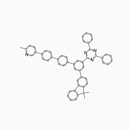 Cc1ccc(-c2ccc(-c3ccc(-c4cc(-c5ccc6c(c5)-c5ccccc5C6(C)C)cc(-c5nc(-c6ccccc6)nc(-c6ccccc6)n5)c4)cc3)cc2)cn1